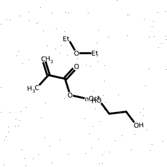 C=C(C)C(=O)OCCCCCCCC.CCOCC.OCCO